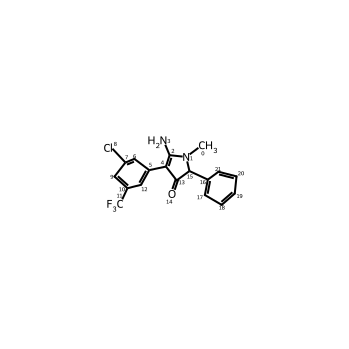 CN1C(N)=C(c2cc(Cl)cc(C(F)(F)F)c2)C(=O)C1c1ccccc1